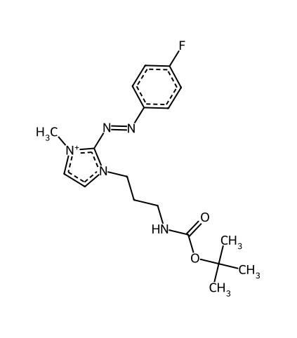 C[n+]1ccn(CCCNC(=O)OC(C)(C)C)c1/N=N/c1ccc(F)cc1